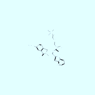 COc1ccc2c(c1)C(=O)N(C[C@H](NC(=O)N(C=O)COCC[Si](C)(C)C)c1cc3ncccc3o1)C2